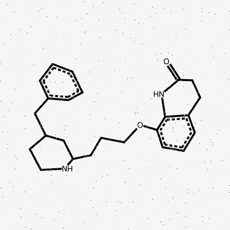 O=C1CCc2cccc(OCCCC3CC(Cc4ccccc4)CCN3)c2N1